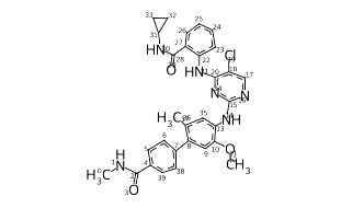 CNC(=O)c1ccc(-c2cc(OC)c(Nc3ncc(Cl)c(Nc4ccccc4C(=O)NC4CC4)n3)cc2C)cc1